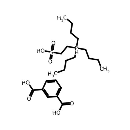 CCCC[PH](CCCC)(CCCC)CCS(=O)(=O)O.O=C(O)c1cccc(C(=O)O)c1